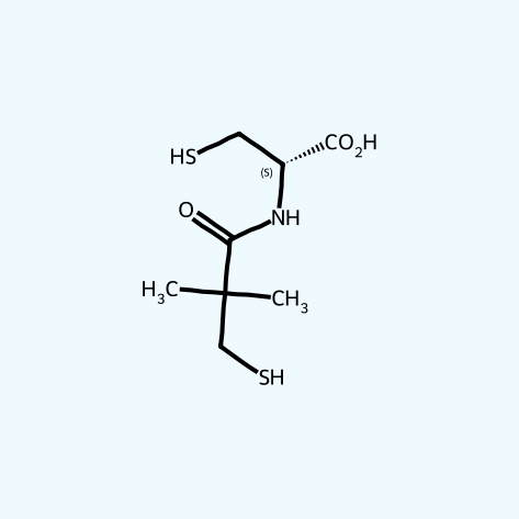 CC(C)(CS)C(=O)N[C@H](CS)C(=O)O